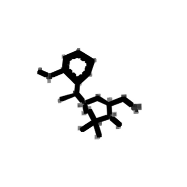 COc1ccccc1[C@H](C)N(C)C[C@@H](CO)N(C)C(C)(C)C